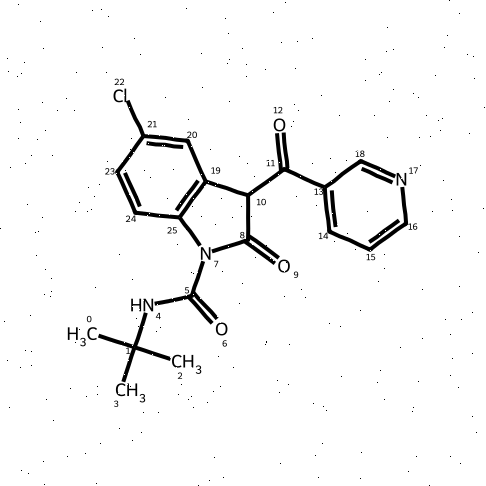 CC(C)(C)NC(=O)N1C(=O)C(C(=O)c2cccnc2)c2cc(Cl)ccc21